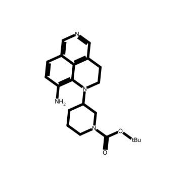 CC(C)(C)OC(=O)N1CCCC(N2CCc3cncc4ccc(N)c2c34)C1